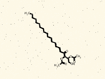 CCCCCCCCCCCCCCCCCC(=O)C(OC(C)=O)C(CO)OC(C)=O